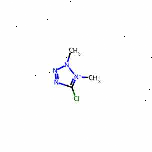 Cn1nnc(Cl)[n+]1C